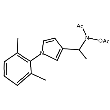 CC(=O)ON(C(C)=O)C(C)c1ccn(-c2c(C)cccc2C)c1